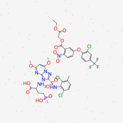 CCOC(=O)COC(=O)c1cc(Oc2ccc(C(F)(F)F)cc2Cl)ccc1[N+](=O)[O-].COc1cc(OC)n2nc(S(=O)(=O)Nc3c(Cl)ccc(C)c3Cl)nc2n1.CP(=O)(O)CCC(N)C(=O)O